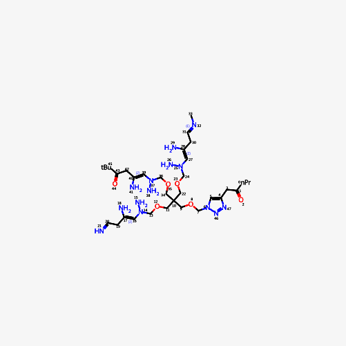 CCCC(=O)Cc1cn(COCC(COCN(N)/C=C(\N)CC=N)(COCN(N)/C=C(\N)C/C=N/C)COCN(N)/C=C(\N)CC(=O)C(C)(C)C)nn1